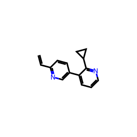 C=Cc1ccc(-c2cccnc2C2CC2)cn1